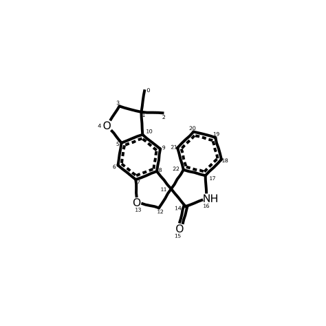 CC1(C)COc2cc3c(cc21)C1(CO3)C(=O)Nc2ccccc21